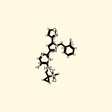 CS(=O)(=O)C1(CNc2nc(-c3cc(-c4ccon4)n(Cc4ccccc4F)n3)ncc2F)CC1